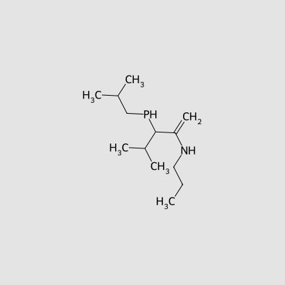 C=C(NCCC)C(PCC(C)C)C(C)C